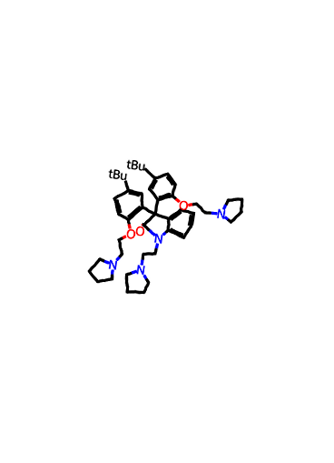 CC(C)(C)c1ccc(OCCN2CCCC2)c(C2(c3cc(C(C)(C)C)ccc3OCCN3CCCC3)C(=O)N(CCN3CCCC3)c3ccccc32)c1